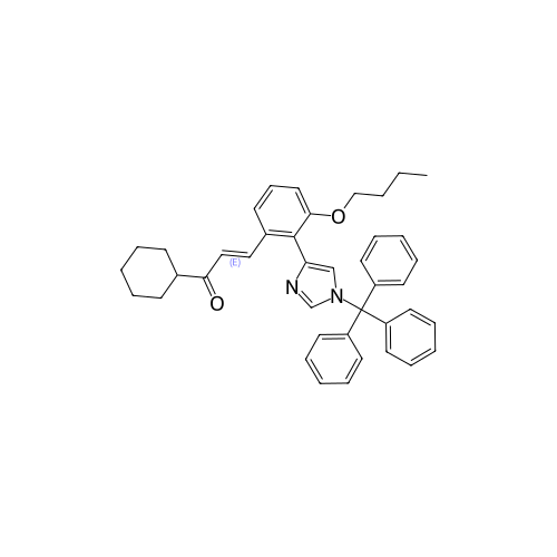 CCCCOc1cccc(/C=C/C(=O)C2CCCCC2)c1-c1cn(C(c2ccccc2)(c2ccccc2)c2ccccc2)cn1